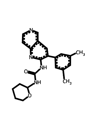 Cc1cc(C)cc(-c2cc3cnccc3nc2NC(=O)NC2CCCCO2)c1